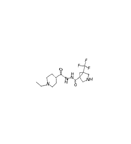 CCN1CCC(C(=O)NNC(=O)C23CNCC2(C(F)(F)F)C3)CC1